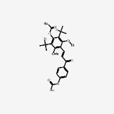 CCOc1c(C=CC(=O)c2ccc(OC(=O)C(C)(C)C)cc2)c(OC)c(C(C)(C)CC)c(OC(=O)C(C)(C)C)c1C(C)(C)CC